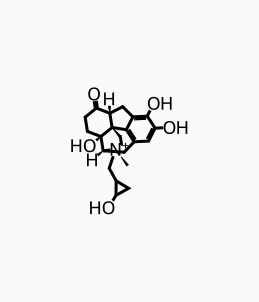 C[N@+]1(CC2CC2O)CC[C@]23c4c5cc(O)c(O)c4C[C@H]2C(=O)CC[C@@]3(O)[C@H]1C5